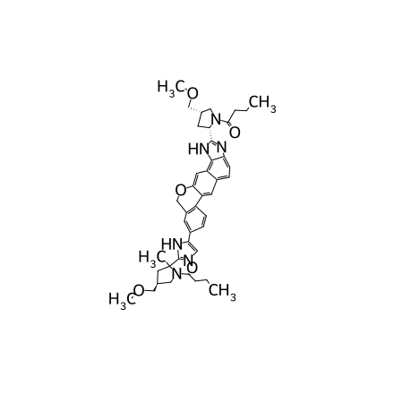 CCCC(=O)N1C[C@@H](COC)C[C@H]1c1nc2ccc3cc4c(cc3c2[nH]1)OCc1cc(-c2cnc(C3(C)C[C@H](COC)CN3C(=O)CCC)[nH]2)ccc1-4